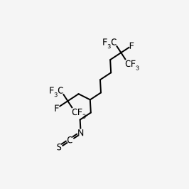 FC(F)(F)C(F)(CCCCC(CCN=C=S)CC(F)(C(F)(F)F)C(F)(F)F)C(F)(F)F